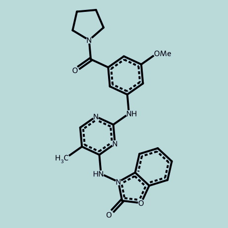 COc1cc(Nc2ncc(C)c(Nn3c(=O)oc4ccccc43)n2)cc(C(=O)N2CCCC2)c1